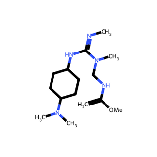 C=C(NCN(C)/C(=N\C)NC1CCC(N(C)C)CC1)OC